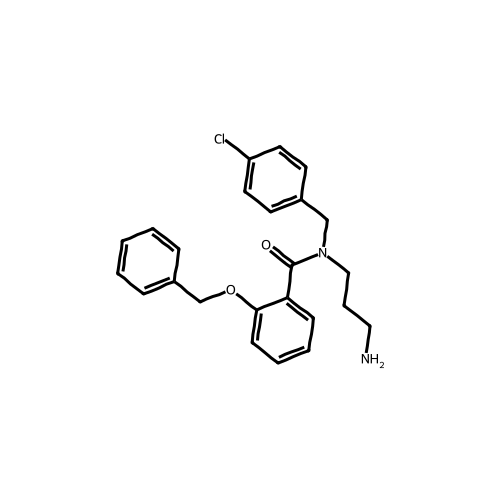 NCCCN(Cc1ccc(Cl)cc1)C(=O)c1ccccc1OCc1ccccc1